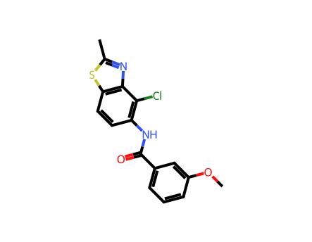 COc1cccc(C(=O)Nc2ccc3sc(C)nc3c2Cl)c1